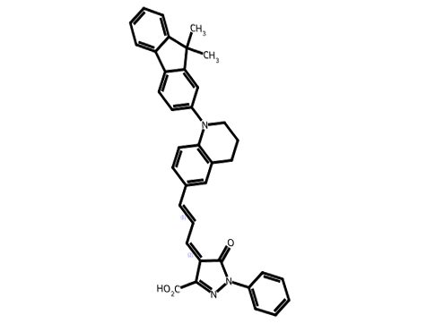 CC1(C)c2ccccc2-c2ccc(N3CCCc4cc(/C=C/C=C5\C(=O)N(c6ccccc6)N=C5C(=O)O)ccc43)cc21